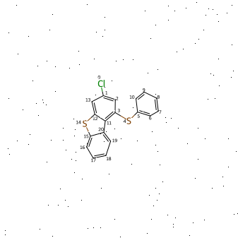 Clc1cc(Sc2ccccc2)c2c(c1)sc1ccccc12